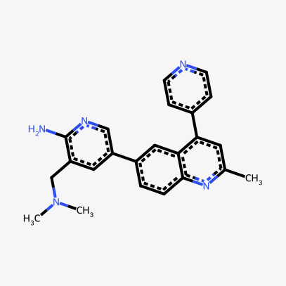 Cc1cc(-c2ccncc2)c2cc(-c3cnc(N)c(CN(C)C)c3)ccc2n1